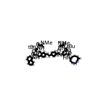 C=C1/C=C\C=C/C[C@H](NC(=O)[C@@H]2C[C@H](NC(=O)c3ccc(CCc4ccc5c(c4)CN(C(=O)[C@@H](NC(=O)[C@H](C)NC)C(C)(C)C)[C@H](C(=O)N[C@@H]4CCCc6ccccc64)C5)cc3)CN2C(=O)[C@@H](NC(=O)[C@H](C)NC)C(C)(C)C)CCC1